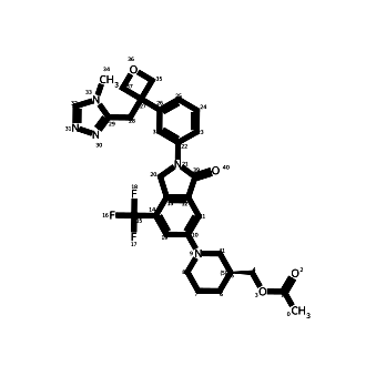 CC(=O)OC[C@H]1CCCN(c2cc3c(c(C(F)(F)F)c2)CN(c2cccc(C4(Cc5nncn5C)COC4)c2)C3=O)C1